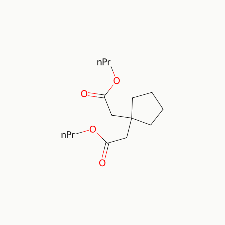 CCCOC(=O)CC1(CC(=O)OCCC)CCCC1